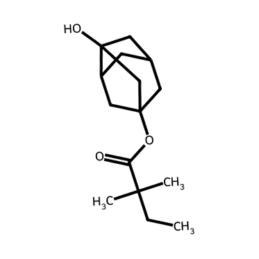 CCC(C)(C)C(=O)OC12CC3CC(C1)C(O)(C3)C2